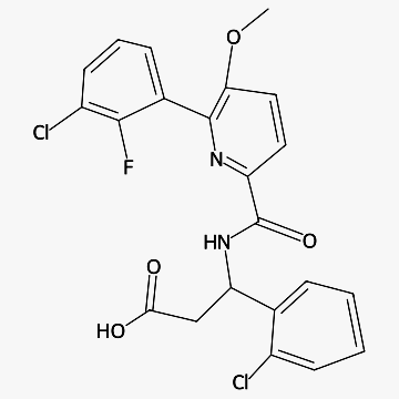 COc1ccc(C(=O)NC(CC(=O)O)c2ccccc2Cl)nc1-c1cccc(Cl)c1F